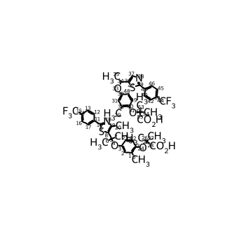 Cc1cc(OC(C)(C)c2sc(-c3ccc(C(F)(F)F)cc3)nc2C)ccc1OC(C)(C)C(=O)O.Cc1cc(OC(C)c2cnc(-c3ccc(C(F)(F)F)cc3)s2)ccc1OC(C)(C)C(=O)O